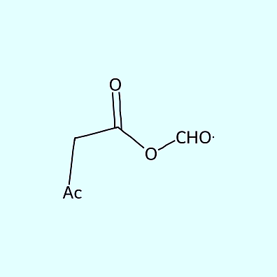 CC(=O)CC(=O)O[C]=O